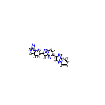 c1ccn2cc(-c3ccn4nc(-c5ccc6cn[nH]c6n5)cc4n3)nc2c1